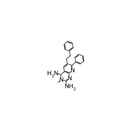 CN1C(N)=Nc2nc(-c3ccccc3)c(CCc3ccccc3)cc2C1N